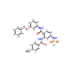 CC(C)(C)c1ccc(C(=O)Nc2cc(NS(C)(=O)=O)ccc2C(=O)Nc2cccc(OCc3ccccc3)c2)cc1